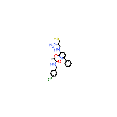 CC(Oc1nc(-c2ccccc2)ccc1NCC(N)CS)C(=O)NCc1ccc(Cl)cc1